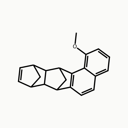 COc1cccc2ccc3c(c12)C1CC3C2C3C=CC(C3)C12